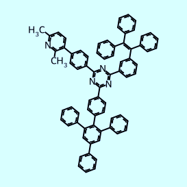 Cc1ccc(-c2ccc(-c3nc(-c4ccc(-c5c(-c6ccccc6)cc(-c6ccccc6)cc5-c5ccccc5)cc4)nc(-c4cccc(C(=C(c5ccccc5)c5ccccc5)c5ccccc5)c4)n3)cc2)c(C)n1